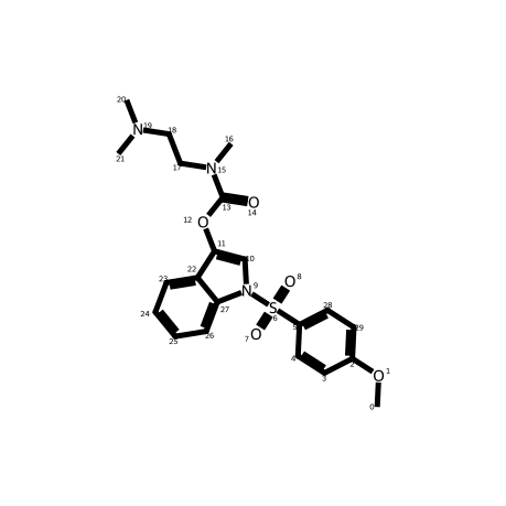 COc1ccc(S(=O)(=O)n2cc(OC(=O)N(C)CCN(C)C)c3ccccc32)cc1